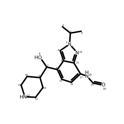 CC(C)n1cc2c(C(O)C3CCNCC3)ccc(NC=O)c2n1